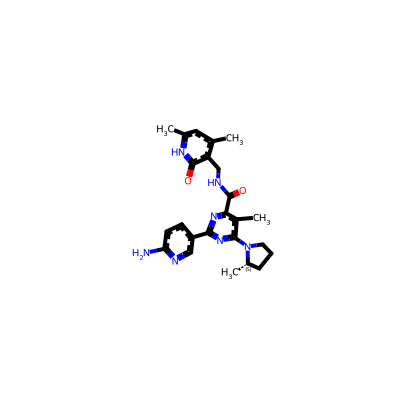 Cc1cc(C)c(CNC(=O)c2nc(-c3ccc(N)nc3)nc(N3CCC[C@@H]3C)c2C)c(=O)[nH]1